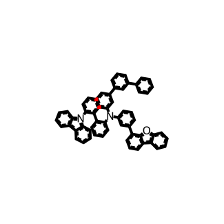 c1ccc(-c2cccc(-c3cccc(N(c4cccc(-c5cccc6c5oc5ccccc56)c4)c4ccccc4-c4ccccc4-n4c5ccccc5c5ccccc54)c3)c2)cc1